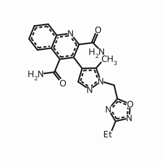 CCc1noc(Cn2ncc(-c3c(C(N)=O)nc4ccccc4c3C(N)=O)c2C)n1